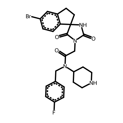 O=C1NC2(CCc3cc(Br)ccc32)C(=O)N1CC(=O)N(Cc1ccc(F)cc1)C1CCNCC1